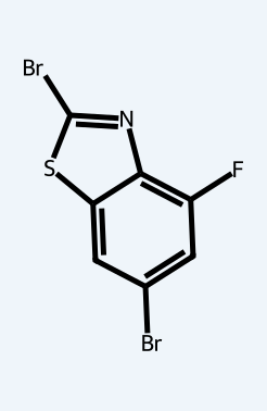 Fc1cc(Br)cc2sc(Br)nc12